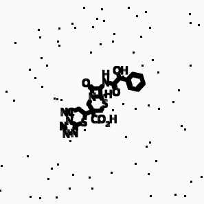 N#CCC(Sc1nnn[nH]1)C1(C(=O)O)CS[C@@H]2C(NC(=O)C(O)c3ccccc3)C(=O)N2C1